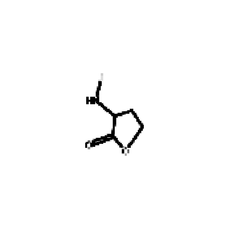 O=C1OCCC1NI